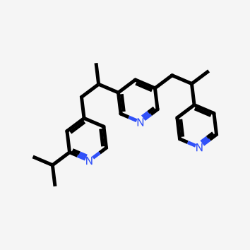 CC(C)c1cc(CC(C)c2cncc(CC(C)c3ccncc3)c2)ccn1